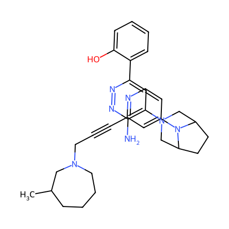 CC1CCCCN(CC#Cc2cc(N3C4CCC3CN(c3cc(-c5ccccc5O)nnc3N)C4)ccn2)C1